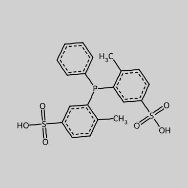 Cc1ccc(S(=O)(=O)O)cc1P(c1ccccc1)c1cc(S(=O)(=O)O)ccc1C